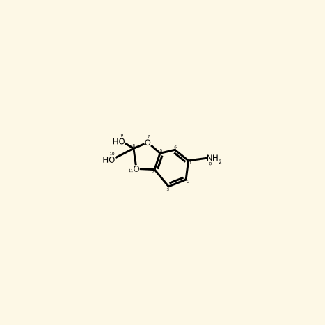 Nc1ccc2c(c1)OC(O)(O)O2